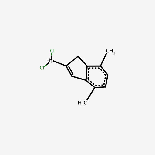 Cc1ccc(C)c2c1C=[C]([Hf]([Cl])[Cl])C2